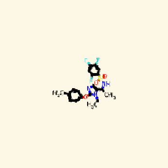 CCn1c(C(C)NS(=O)(=O)c2cc(F)c(F)cc2F)cnc1Oc1ccc(C)cc1